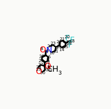 COC1(c2ccc(C(=O)N3CCC(c4ccc(C(F)(F)F)cc4)CC3)cc2)CCOCC1